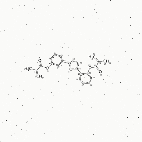 C=C(C)C(=O)Oc1cccc(-c2ccc(-c3ccccc3OC(=O)C(=C)C)o2)c1